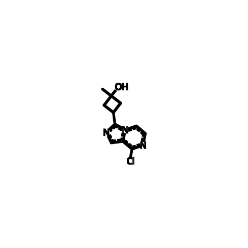 CC1(O)CC(c2ncc3c(Cl)nccn23)C1